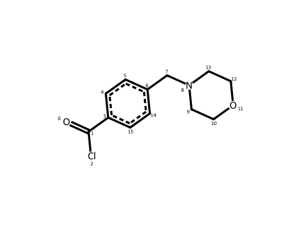 O=C(Cl)c1ccc(CN2CCOCC2)cc1